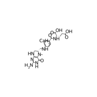 CN1c2c(nc(N)[nH]c2=O)NC[C@@H]1CNc1ccc(C(=O)N[C@@H](CCC(=O)O)C(=O)O)cc1.[CaH2]